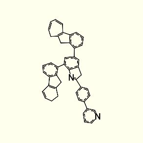 C1=CCC2=C(C=C1)c1cccc(-c3cc4c(c(-c5cccc6c5CC5=C6C=CCC5)c3)N=C(c3ccc(-c5cccnc5)cc3)C4)c1C2